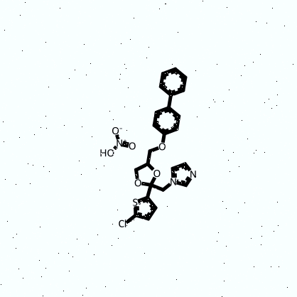 Clc1ccc(C2(Cn3ccnc3)OCC(COc3ccc(-c4ccccc4)cc3)O2)s1.O=[N+]([O-])O